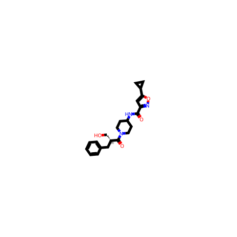 O=C(NC1CCN(C(=O)[C@@H](CO)Cc2ccccc2)CC1)c1cc(C2CC2)on1